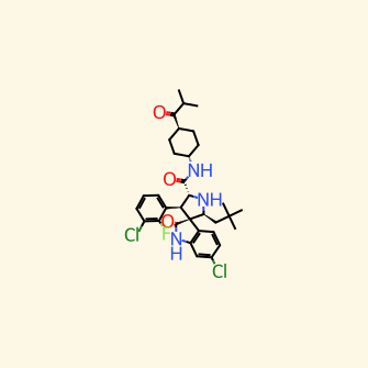 CC(C)C(=O)[C@H]1CC[C@H](NC(=O)[C@@H]2N[C@@H](CC(C)(C)C)[C@@]3(C(=O)Nc4cc(Cl)ccc43)[C@H]2c2cccc(Cl)c2F)CC1